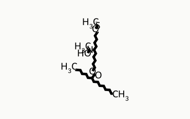 CCCCCCCCC(CCCCCC)C(=O)OCCCCCC(CCCCCOSC)N(C)O